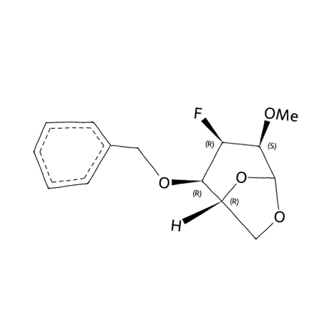 CO[C@H]1C2OC[C@@H](O2)[C@@H](OCc2ccccc2)[C@H]1F